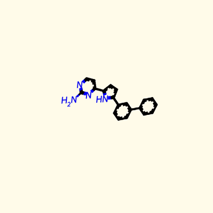 Nc1nccc(-c2ccc(-c3cccc(-c4ccccc4)c3)[nH]2)n1